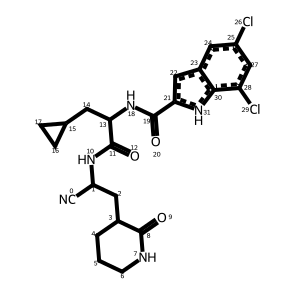 N#CC(CC1CCCNC1=O)NC(=O)C(CC1CC1)NC(=O)c1cc2cc(Cl)cc(Cl)c2[nH]1